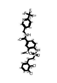 COc1cc(C(=O)NCc2ccc(C(F)(F)F)nc2)ccc1NS(=O)(=O)CCc1cccc(Cl)c1Cl